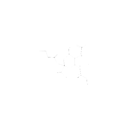 CCCC(=O)OC1(C(O)O)CC(O)C(NC(C)=O)C([C@H](O)[C@H](O)CO)O1